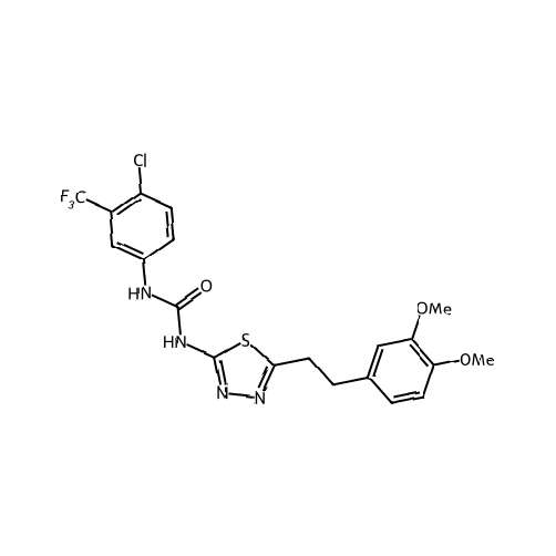 COc1ccc(CCc2nnc(NC(=O)Nc3ccc(Cl)c(C(F)(F)F)c3)s2)cc1OC